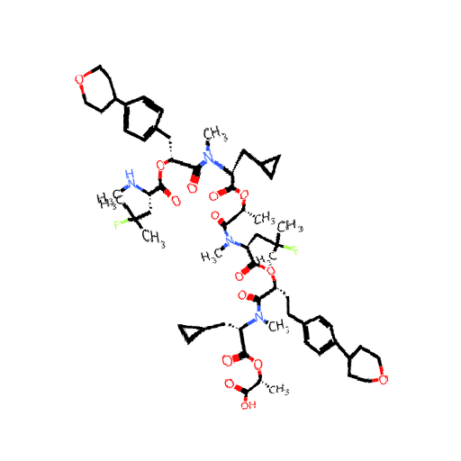 CN[C@@H](CC(C)(C)F)C(=O)O[C@H](Cc1ccc(C2CCOCC2)cc1)C(=O)N(C)[C@@H](CC1CC1)C(=O)O[C@H](C)C(=O)N(C)[C@@H](CC(C)(C)F)C(=O)O[C@H](CCc1ccc(C2CCOCC2)cc1)C(=O)N(C)[C@@H](CC1CC1)C(=O)O[C@H](C)C(=O)O